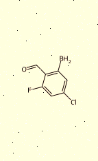 Bc1cc(Cl)cc(F)c1C=O